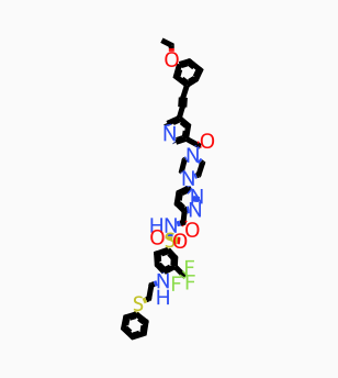 CCOc1cccc(C#Cc2cncc(C(=O)N3CCN(c4ccc(C(=O)NS(=O)(=O)c5ccc(NCCSc6ccccc6)c(C(F)(F)F)c5)nn4)CC3)c2)c1